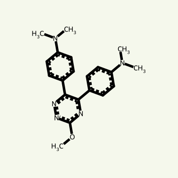 COc1nnc(-c2ccc(N(C)C)cc2)c(-c2ccc(N(C)C)cc2)n1